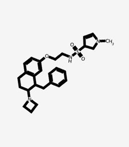 CN1C=CC(S(=O)(=O)NCCOc2ccc3c(c2)C(Cc2ccccc2)C(N2CCC2)CC3)C1